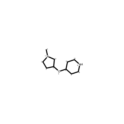 CN1CCC(OC2CCNCC2)C1